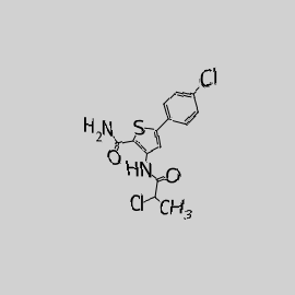 CC(Cl)C(=O)Nc1cc(-c2ccc(Cl)cc2)sc1C(N)=O